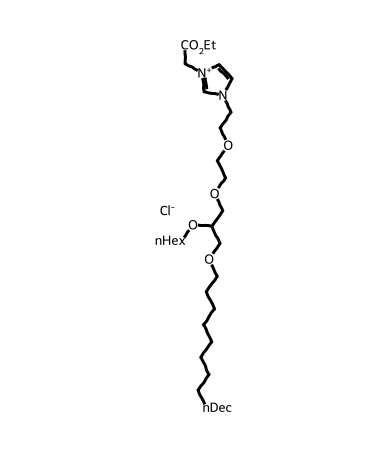 CCCCCCCCCCCCCCCCCCOCC(COCCOCCn1cc[n+](CC(=O)OCC)c1)OCCCCCC.[Cl-]